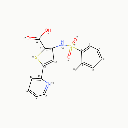 Cc1ccccc1S(=O)(=O)Nc1cc(-c2ccccn2)sc1C(=O)O